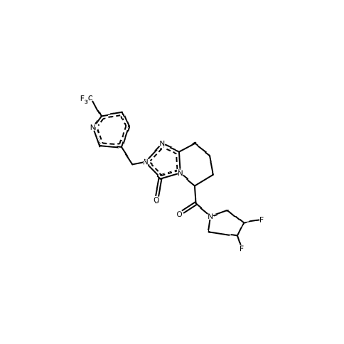 O=C(C1CCCc2nn(Cc3ccc(C(F)(F)F)nc3)c(=O)n21)N1CC(F)C(F)C1